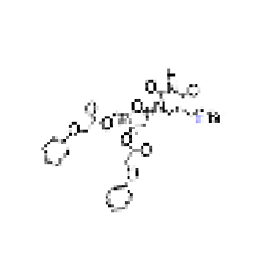 O=C(COc1ccccc1)OC[C@H]1O[C@@H](n2cc(/C=C/Br)c(=O)[nH]c2=O)C[C@@H]1OC(=O)COc1ccccc1